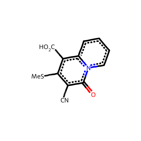 CSc1c(C#N)c(=O)n2ccccc2c1C(=O)O